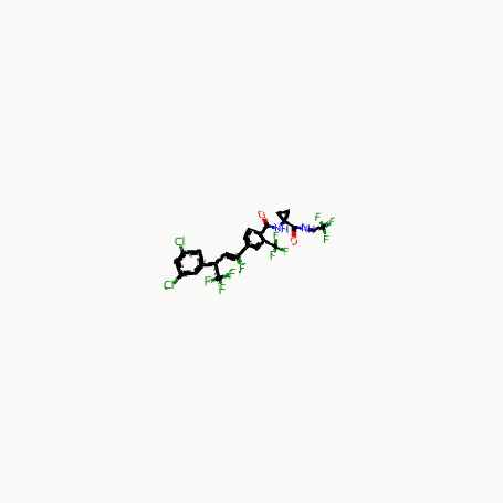 O=C(NC1(C(=O)NCC(F)(F)F)CC1)c1ccc(C(F)=CC(c2cc(Cl)cc(Cl)c2)C(F)(F)F)cc1C(F)(F)F